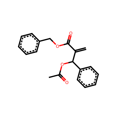 C=C(C(=O)OCc1ccccc1)C(OC(C)=O)c1ccccc1